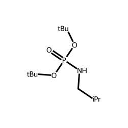 CC(C)CNP(=O)(OC(C)(C)C)OC(C)(C)C